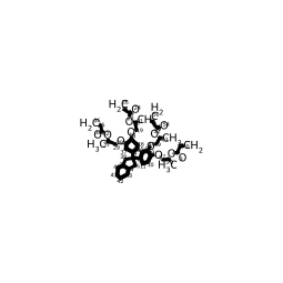 C=CC(=O)OC(C)COc1ccc(C2(c3ccc(OCC(C)OC(=O)C=C)c(OCC(C)OC(=O)C=C)c3)Cc3ccccc3C2)cc1OCC(C)OC(=O)C=C